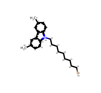 Cc1ccc2c(c1)c1cc(C)ccc1n2CCCCCCCCCBr